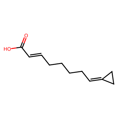 O=C(O)C=CCCCCC=C1CC1